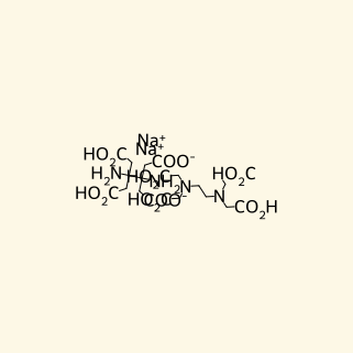 NC(CC(=O)[O-])(CC(=O)[O-])C(N)(CC(=O)O)CC(=O)O.O=C(O)CN(CCN(CC(=O)O)CC(=O)O)CC(=O)O.[Na+].[Na+]